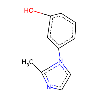 Cc1nccn1-c1cccc(O)c1